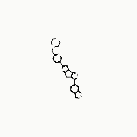 c1cc(CN2CCOCC2)ncc1-c1cc2c(s1)Cc1c(-c3ccc4cn[nH]c4c3)n[nH]c1-2